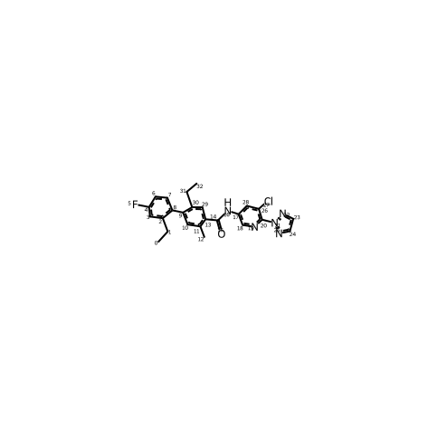 CCc1cc(F)ccc1-c1cc(C)c(C(=O)Nc2cnc(-n3nccn3)c(Cl)c2)cc1CC